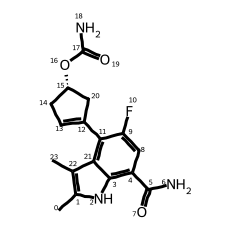 Cc1[nH]c2c(C(N)=O)cc(F)c(C3=CC[C@H](OC(N)=O)C3)c2c1C